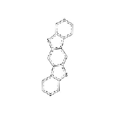 [c]1ccc2c(c1)sc1cc3c(cc12)sc1c[c]ccc13